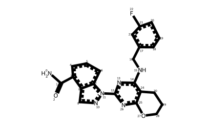 NC(=O)c1cccc2c1cnn2-c1nc(NCc2cccc(F)c2)c2c(n1)OCCC2